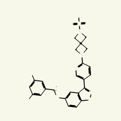 C[C@@H](Oc1ccc2[nH]nc(-c3ccc(N4CC5(C4)CN(S(C)(=O)=O)C5)nc3)c2c1)c1cc(F)cc(F)c1